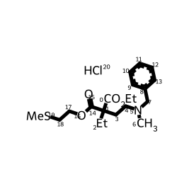 CCOC(=O)C(CC)(CCN(C)Cc1ccccc1)C(=O)OCCSC.Cl